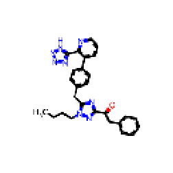 CCCCn1nc(C(=O)Cc2ccccc2)nc1Cc1ccc(-c2cccnc2-c2nnn[nH]2)cc1